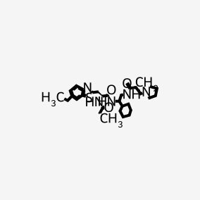 C=C(CN1CCCC1)C(=O)NCC(NC(=O)[C@H](Cc1nc2ccc(CC)cc2s1)NC(=O)CC)C1CCCCC1